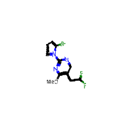 COc1nc(-n2cccc2Br)ncc1CC(F)F